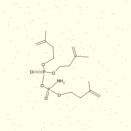 C=C(C)CCOP(N)(=O)OP(=O)(OCCC(=C)C)OCCC(=C)C